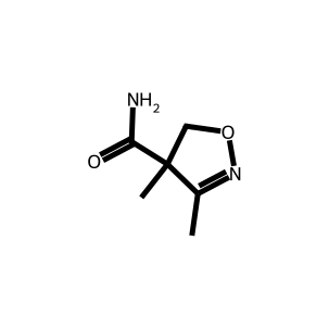 CC1=NOCC1(C)C(N)=O